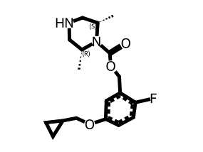 C[C@@H]1CNC[C@H](C)N1C(=O)OCc1cc(OCC2CC2)ccc1F